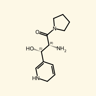 N[C@@H](C(=O)N1CCCC1)[C@@H](O)C1=CNCC=C1